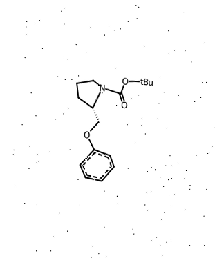 CC(C)(C)OC(=O)N1CCC[C@H]1COc1ccccc1